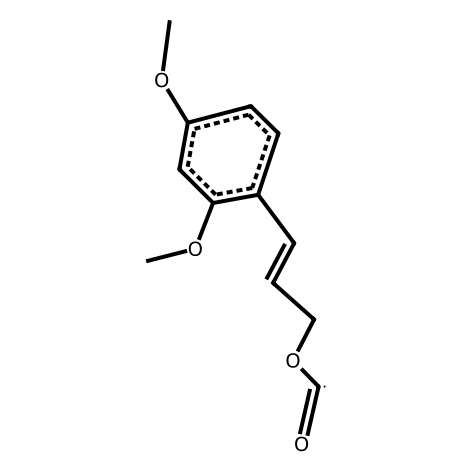 COc1ccc(C=CCO[C]=O)c(OC)c1